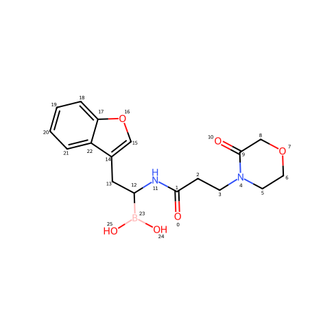 O=C(CCN1CCOCC1=O)NC(Cc1coc2ccccc12)B(O)O